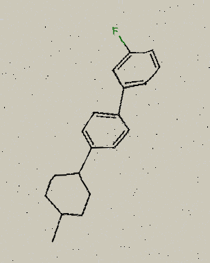 CC1CCC(c2ccc(-c3cccc(F)c3)cc2)CC1